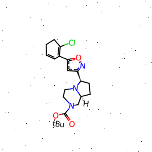 CC(C)(C)OC(=O)N1CCN2[C@@H](CC[C@@H]2c2cc(C3=C(Cl)CCC=C3)on2)C1